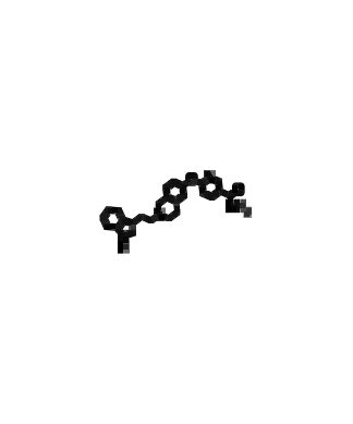 NC(=O)c1ccc(Oc2ccc3c(c2)CCN(CCc2c[nH]c4ccccc24)C3)nc1